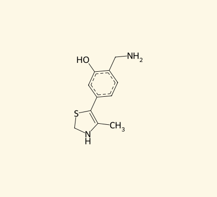 CC1=C(c2ccc(CN)c(O)c2)SCN1